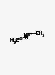 CCCCCCCCCc1ccc(-c2ncc(CC[C@H]3CC[C@H](CCC)CC3)cn2)cc1